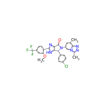 COc1cc(C(F)(F)F)ccc1-c1nc2c([nH]1)C(c1ccc(Cl)cc1)N(c1cc(C)c3nnc(C)n3c1)C2=O